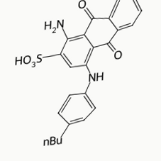 CCCCc1ccc(Nc2cc(S(=O)(=O)O)c(N)c3c2C(=O)c2ccccc2C3=O)cc1